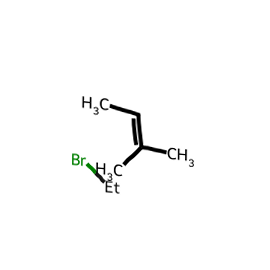 CC=C(C)C.CCBr